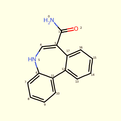 NC(=O)C1=CNc2ccccc2-c2ccccc21